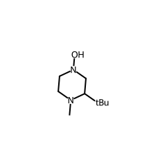 CN1CCN(O)CC1C(C)(C)C